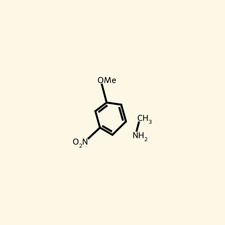 CN.COc1cccc([N+](=O)[O-])c1